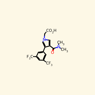 CN(C)C(=O)c1cn(CC(=O)O)cc1-c1cc(C(F)(F)F)cc(C(F)(F)F)c1